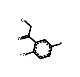 O=C(CCl)c1cc(F)ccc1O